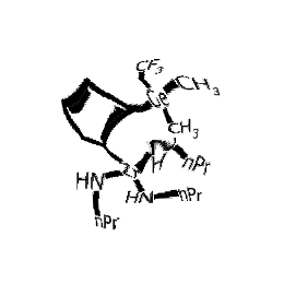 CCC[NH][Zr]([NH]CCC)([NH]CCC)[C]1=[C]([Ge]([CH3])([CH3])[C](F)(F)F)C=CC1